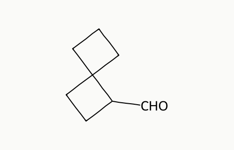 O=CC1CCC12CCC2